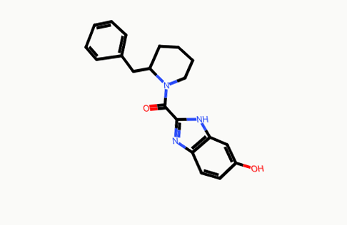 O=C(c1nc2ccc(O)cc2[nH]1)N1CCCCC1Cc1ccccc1